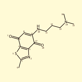 Cc1nc2c(s1)C(=O)C=C(NCCCN(C)C)C2=O